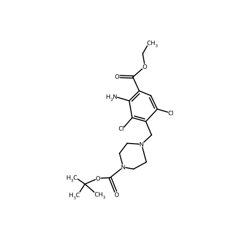 CCOC(=O)c1cc(Cl)c(CN2CCN(C(=O)OC(C)(C)C)CC2)c(Cl)c1N